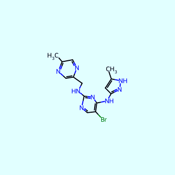 Cc1cnc(CNc2ncc(Br)c(Nc3cc(C)[nH]n3)n2)cn1